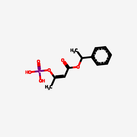 C/C(=C/C(=O)OC(C)c1ccccc1)OP(=O)(O)O